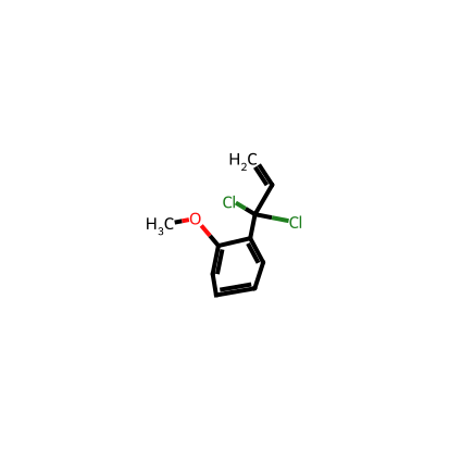 C=CC(Cl)(Cl)c1ccccc1OC